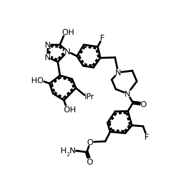 CC(C)c1cc(-c2nnc(O)n2-c2ccc(CN3CCN(C(=O)c4ccc(COC(N)=O)cc4CF)CC3)c(F)c2)c(O)cc1O